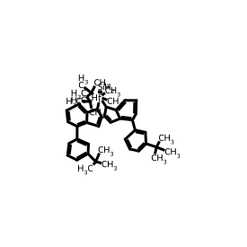 CC(C)(C)c1cccc(-c2cccc3c2C=C[CH]3[Hf]([CH3])([CH3])(=[SiH2])([CH]2C=Cc3c(-c4cccc(C(C)(C)C)c4)cccc32)([C](C)(C)C)[C](C)(C)C)c1